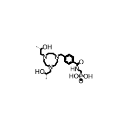 C[C@H](O)CN1CCN(Cc2ccc(C(=O)NCP(=O)(O)O)cc2)CCN(C[C@H](C)O)CC1